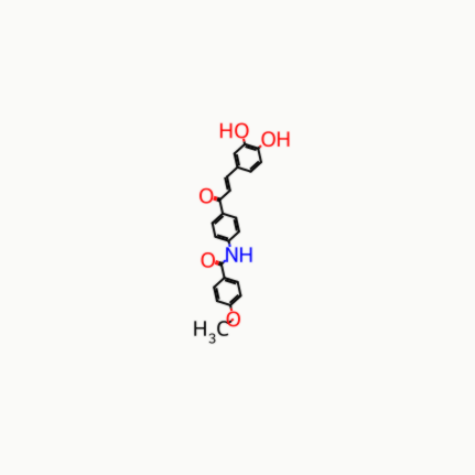 COc1ccc(C(=O)Nc2ccc(C(=O)/C=C/c3ccc(O)c(O)c3)cc2)cc1